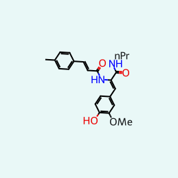 CCCNC(=O)/C(=C/c1ccc(O)c(OC)c1)NC(=O)/C=C/c1ccc(C)cc1